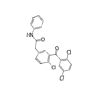 O=C(Cc1ccc(Cl)c(C(=O)c2cc(Cl)ccc2Cl)c1)Nc1ccccc1